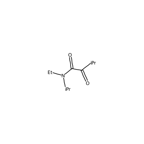 CCN(C(=O)C(=O)C(C)C)C(C)C